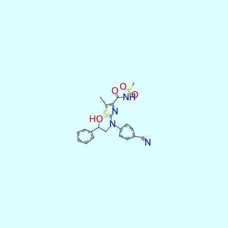 Cc1sc(N(CC(O)c2ccccc2)c2ccc(C#N)cc2)nc1C(=O)NS(C)(=O)=O